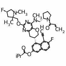 C#Cc1c(F)ccc2cc(OC(=O)C(C)C)cc([C@H]3COc4c(nc(OC[C@]5(C)C[C@@H](F)CN5C)nc4N(C)C[C@@H]4CCCN4C(=O)C=C)C3)c12